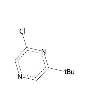 CC(C)(C)c1cncc(Cl)n1